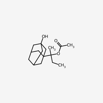 CCC(C)(OC(C)=O)C12CC3CC(CC(O)(C3)C1)C2